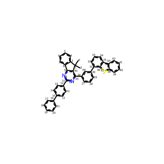 CC1(C)c2ccccc2-c2nc(-c3ccc(-c4ccccc4)cc3)nc(-c3cccc(-c4cccc5c4sc4ccccc45)c3)c21